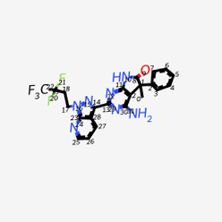 CC1(c2ccccc2)C(=O)Nc2nc(-c3nn(CCC(F)(F)C(F)(F)F)c4ncccc34)nc(N)c21